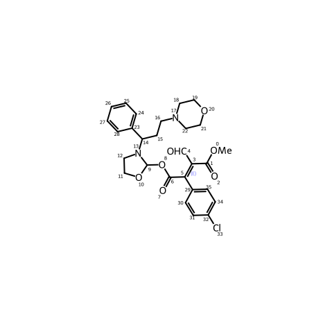 COC(=O)/C(C=O)=C(/C(=O)OC1OCCN1C(CCN1CCOCC1)c1ccccc1)c1ccc(Cl)cc1